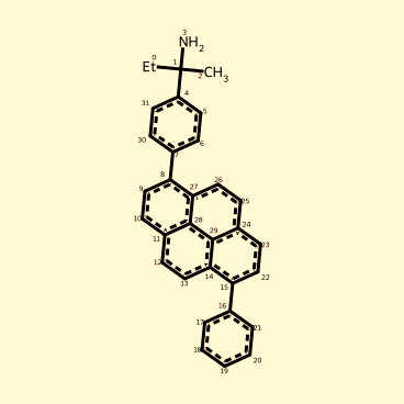 CCC(C)(N)c1ccc(-c2ccc3ccc4c(-c5ccccc5)ccc5ccc2c3c54)cc1